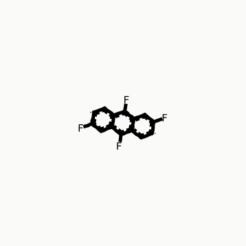 Fc1[c]cc2c(F)c3cc(F)[c]cc3c(F)c2c1